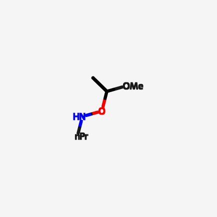 CCCNOC(C)OC